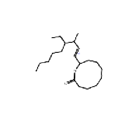 CCCCCC(CC)C(C)/C=C/C1CCCCCCCC(=O)O1